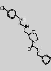 O=C(OCc1ccccc1)N1CCOC(CN[C]Nc2ccc(Cl)cc2)C1